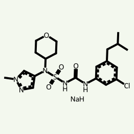 CC(C)Cc1cc(Cl)cc(NC(=O)NS(=O)(=O)N(c2cnn(C)c2)C2CCOCC2)c1.[NaH]